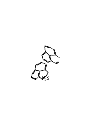 C1=Cc2cccc3cccc(c23)C1.C1=Cc2cccc3cccc(c23)C1.S